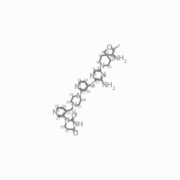 C[C@@H]1OCC2(CCN(c3cnc(Sc4ccnc(N5CCN(Cc6ccncc6N6CCC(=O)NC6=O)CC5)c4)c(N)n3)CC2)[C@@H]1N